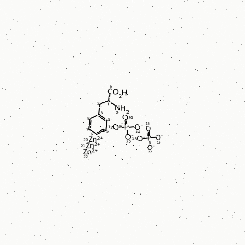 NC(Cc1ccccc1)C(=O)O.O=P([O-])([O-])[O-].O=P([O-])([O-])[O-].[Zn+2].[Zn+2].[Zn+2]